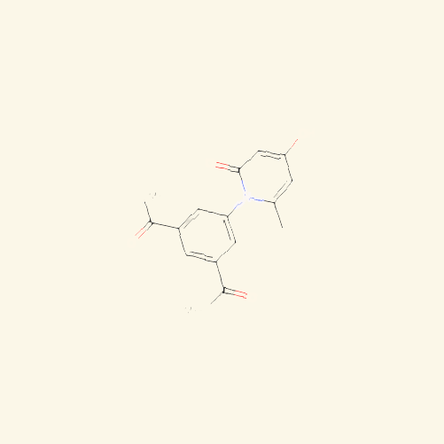 COC(=O)c1cc(C(=O)OC)cc(-n2c(C)cc(O)cc2=O)c1